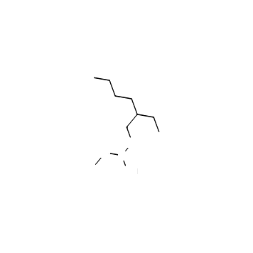 CCCCC(CC)COP(O)OC